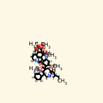 CCC1=C[C@H]2C[N@](C1)Cc1c([nH]c3ccccc13)C(C(=O)OC)(c1cc3c(cc1OC)N(C)[C@H]1[C@@](O)(C(=O)OC)[C@H](OC(C)=O)[C@]4(CC)C=CCN5CC[C@]31[C@H]54)C2